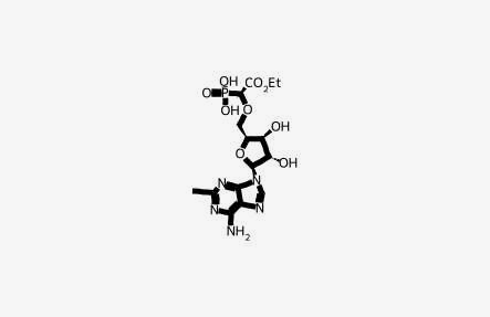 CCOC(=O)[C@@H](OC[C@@H]1O[C@H](n2cnc3c(N)nc(C)nc32)[C@@H](O)[C@@H]1O)P(=O)(O)O